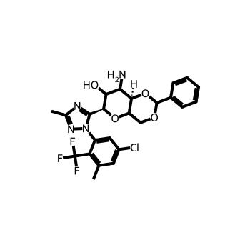 Cc1nc([C@@H]2OC3COC(c4ccccc4)O[C@@H]3C(N)C2O)n(-c2cc(Cl)cc(C)c2C(F)(F)F)n1